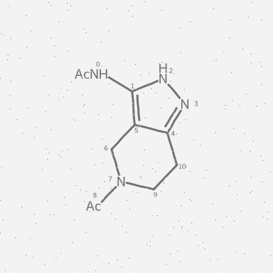 CC(=O)Nc1[nH]nc2c1CN(C(C)=O)CC2